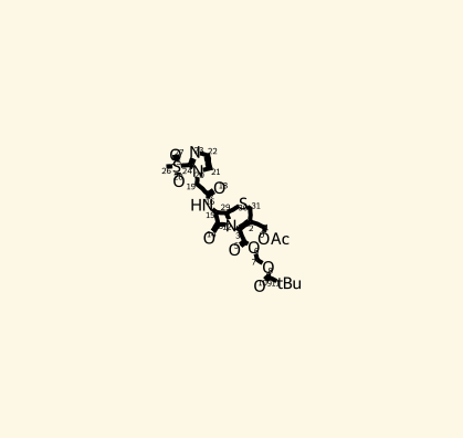 CC(=O)OCC1=C(C(=O)OCOC(=O)C(C)(C)C)N2C(=O)C(NC(=O)Cn3ccnc3S(C)(=O)=O)C2SC1